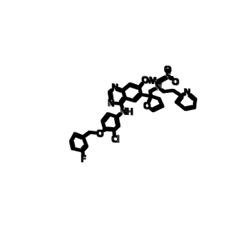 COc1cc2ncnc(Nc3ccc(OCc4cccc(F)c4)c(Cl)c3)c2cc1C1(CN(C=S(=O)=O)CCc2ccccn2)CC=CO1